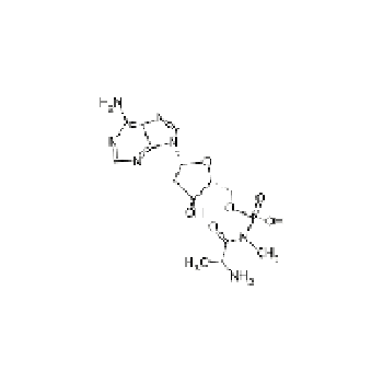 C[C@H](N)C(=O)N(C)P(=O)(O)OC[C@H]1O[C@@H](n2cnc3c(N)ncnc32)C[C@@H]1O